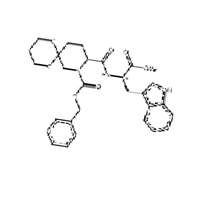 COC(=O)[C@@H](Cc1c[nH]c2ccccc12)NC(=O)C1CCC2(CN1C(=O)OCc1ccccc1)OCCCO2